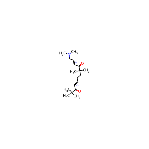 CN(C)C/C=C/C(=O)C(C)(C)CC/C=C/C(=O)C(C)(C)C